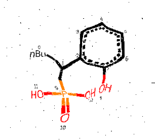 CCCCC(c1ccccc1O)P(=O)(O)O